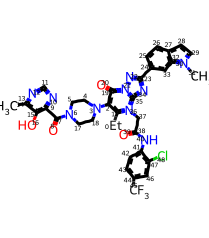 CCc1c(N2CCN(C(=O)c3ncnc(C)c3O)CC2)c(=O)n2nc(-c3ccc4ccn(C)c4c3)nc2n1CC(=O)Nc1ccc(C(F)(F)F)cc1Cl